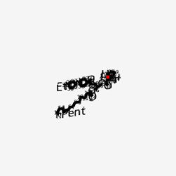 CCCCC/C=C\C/C=C\CCCCCCCC(=O)OCC(COC(=O)C1CCN(C2CCN(CC)CC2)CC1)COC(=O)[C@H]1[C@H]2[C@@H]3CC[C@@H](C3)[C@@H]12